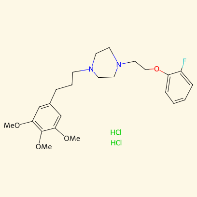 COc1cc(CCCN2CCN(CCOc3ccccc3F)CC2)cc(OC)c1OC.Cl.Cl